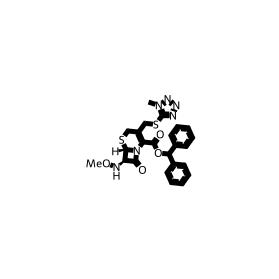 CON[C@@H]1C(=O)N2C(C(=O)OC(c3ccccc3)c3ccccc3)=C(CSc3nnnn3C)CS[C@@H]12